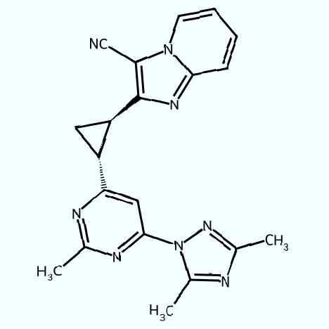 Cc1nc([C@@H]2C[C@H]2c2nc3ccccn3c2C#N)cc(-n2nc(C)nc2C)n1